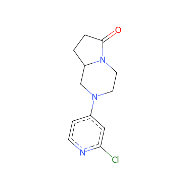 O=C1CCC2CN(c3ccnc(Cl)c3)CCN12